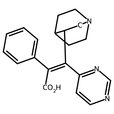 O=C(O)C(=C(c1ccncn1)C1CN2CCC1CC2)c1ccccc1